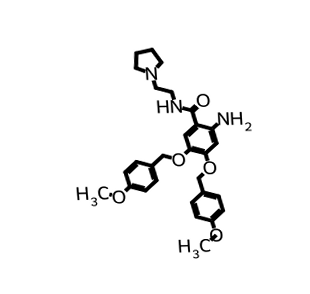 COc1ccc(COc2cc(N)c(C(=O)NCCN3CCCC3)cc2OCc2ccc(OC)cc2)cc1